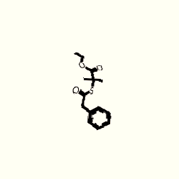 CCOC(=O)C(C)(C)SC(=O)Cc1ccccc1